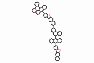 c1ccc(-c2ccccc2-c2c3ccccc3c(-c3ccc4c(c3)oc3cc5ccc(-c6ccc7cc(-c8c9ccccc9c(-c9ccc%10c(c9)oc9cc%11ccccc%11cc9%10)c9ccccc89)c8ccccc8c7c6)cc5cc34)c3ccccc23)cc1